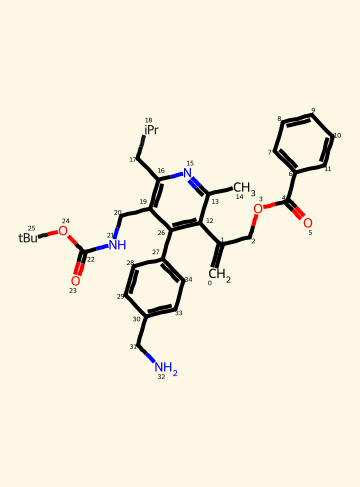 C=C(COC(=O)c1ccccc1)c1c(C)nc(CC(C)C)c(CNC(=O)OC(C)(C)C)c1-c1ccc(CN)cc1